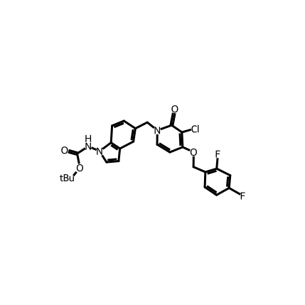 CC(C)(C)OC(=O)Nn1ccc2cc(Cn3ccc(OCc4ccc(F)cc4F)c(Cl)c3=O)ccc21